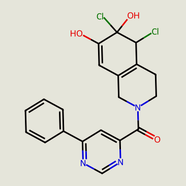 O=C(c1cc(-c2ccccc2)ncn1)N1CCC2=C(C=C(O)C(O)(Cl)C2Cl)C1